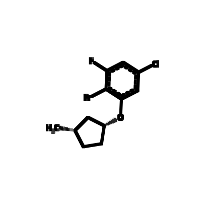 C[C@H]1CC[C@@H](Oc2cc(Cl)cc(F)c2Br)C1